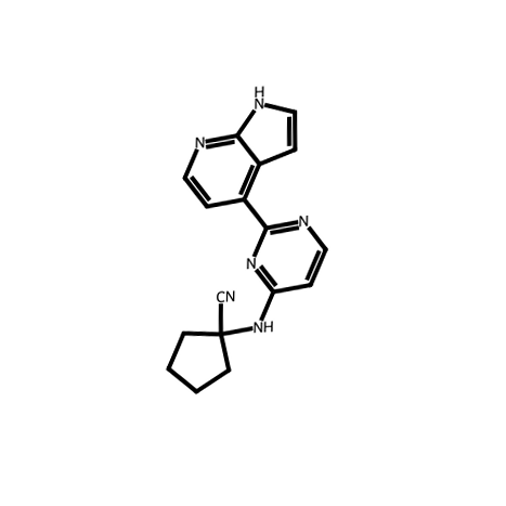 N#CC1(Nc2ccnc(-c3ccnc4[nH]ccc34)n2)CCCC1